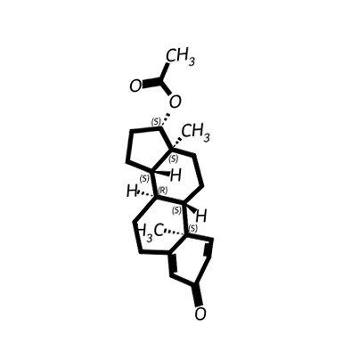 CC(=O)O[C@H]1CC[C@H]2[C@@H]3CCC4=CC(=O)C=C[C@]4(C)[C@H]3CC[C@]12C